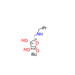 CCC(C)O[C@@H]1O[C@@H](CNCC(C)C)[C@@H](O)[C@H]1O